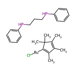 CC1=C(C)C(C)(C)[C]([Ru][Cl])=C1C.c1ccc(PCCCPc2ccccc2)cc1